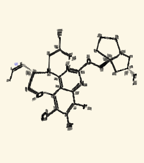 C/C=C\[C@H]1COc2c(Cl)c(Br)c(F)c3nc(OC[C@@]45CCCN4C[C@H](F)C5)nc(c23)N1CC(F)F